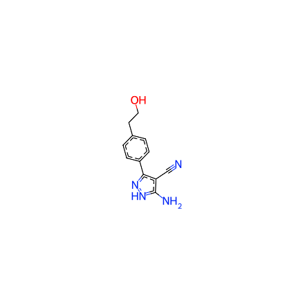 N#Cc1c(-c2ccc(CCO)cc2)n[nH]c1N